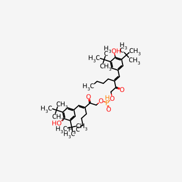 CCCC/C(=C\c1cc(C(C)(C)C)c(O)c(C(C)(C)C)c1)C(=O)CO[PH](=O)OCC(=O)/C(=C/c1cc(C(C)(C)C)c(O)c(C(C)(C)C)c1)CCCC